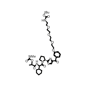 CNC(=O)OC(C)C(=O)NC(C(=O)N1CCC[C@H]1c1nc(C(=O)c2cccc(OCCOCCOCCOCCNC(=O)OC(C)(C)C)c2)cs1)C1CCCCC1